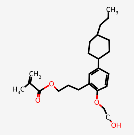 C=C(C)C(=O)OCCCc1cc(C2CCC(CCC)CC2)ccc1OCCO